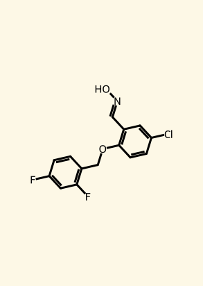 ON=Cc1cc(Cl)ccc1OCc1ccc(F)cc1F